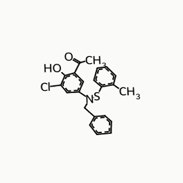 CC(=O)c1cc(N(Cc2ccccc2)Sc2ccccc2C)cc(Cl)c1O